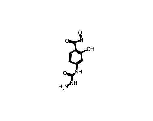 NNC(=O)Nc1ccc(C(=O)N=O)c(O)c1